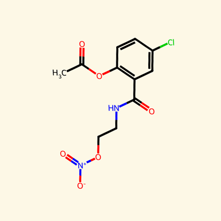 CC(=O)Oc1ccc(Cl)cc1C(=O)NCCO[N+](=O)[O-]